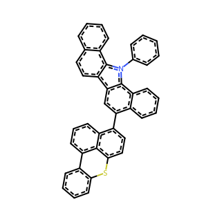 c1ccc(-n2c3c4ccccc4ccc3c3cc(-c4ccc5c6c(cccc46)-c4ccccc4S5)c4ccccc4c32)cc1